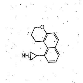 N.c1cc(C2CC2)c2c3c(ccc2c1)OCCC3